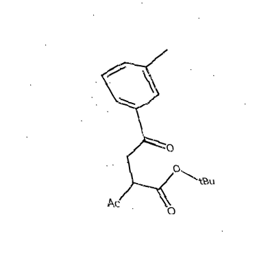 CC(=O)C(CC(=O)c1cccc(C)c1)C(=O)OC(C)(C)C